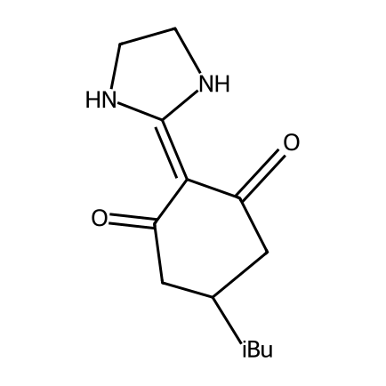 CCC(C)C1CC(=O)C(=C2NCCN2)C(=O)C1